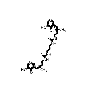 CC(C)(CCNC(=S)NCCCNC(=S)NCCC(C)(C)Cc1cocc(O)c1=O)Cc1cocc(O)c1=O